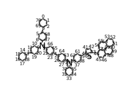 c1ccc(-c2ccc(N(c3ccc(-c4ccccc4)cc3)c3ccc(-c4ccc(N(c5ccccc5)c5ccc(-c6ccc(-c7ccc8ccc9cccc%10ccc7c8c9%10)s6)cc5)cc4)cc3)cc2)cc1